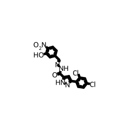 O=C(N/N=C/c1ccc([N+](=O)[O-])c(O)c1)c1cc(-c2ccc(Cl)cc2Cl)n[nH]1